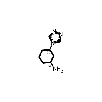 N[C@H]1CCC[C@@H](n2cnnc2)C1